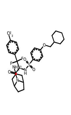 NC1CC2CCC(C1)N2C(=O)[C@H](NS(=O)(=O)c1ccc(OCC2CCCCC2)cc1)C(F)(F)c1ccc(C(F)(F)F)cc1